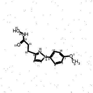 COc1ccc(-n2ccc(CCC(=O)NO)n2)cc1